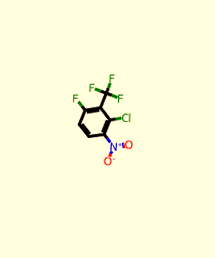 O=[N+]([O-])c1ccc(F)c(C(F)(F)F)c1Cl